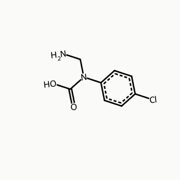 NCN(C(=O)O)c1ccc(Cl)cc1